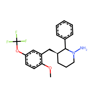 COc1ccc(OC(F)(F)F)cc1C[C@@H]1CCCN(N)C1c1ccccc1